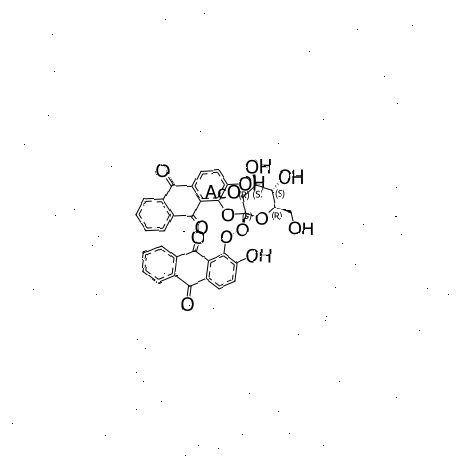 CC(=O)O[C@@H]1[C@@H](O)[C@H](O)[C@@H](CO)O[C@]1(OOc1c(O)ccc2c1C(=O)c1ccccc1C2=O)Oc1c(O)ccc2c1C(=O)c1ccccc1C2=O